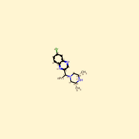 CCCC(c1cnc2cc(Br)ccc2n1)N1C[C@@H](C)N[C@@H](C)C1